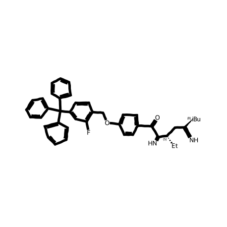 CC[C@@H](CC(=N)[C@H](C)CC)C(=N)C(=O)c1ccc(OCc2ccc(C(c3ccccc3)(c3ccccc3)c3ccccc3)cc2F)cc1